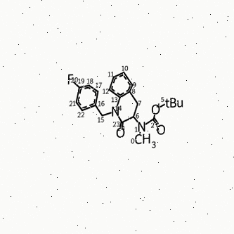 CN(C(=O)OC(C)(C)C)C1Cc2ccccc2N(Cc2ccc(F)cc2)C1=O